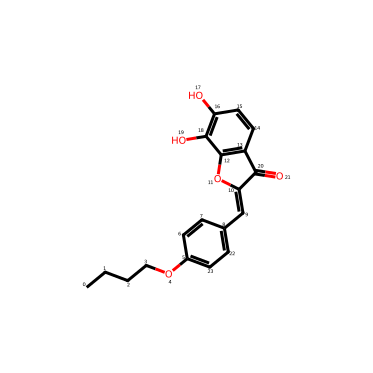 CCCCOc1ccc(C=C2Oc3c(ccc(O)c3O)C2=O)cc1